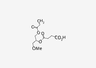 C=CC(=O)OCC(COC)OC(=O)CCC(=O)O